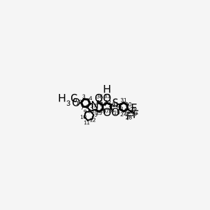 COc1ccc2c(c1)C1(CCCCC1)c1cc3oc(=O)c(Sc4ccc(C(F)(F)F)cc4)c(O)c3c(=O)n1-2